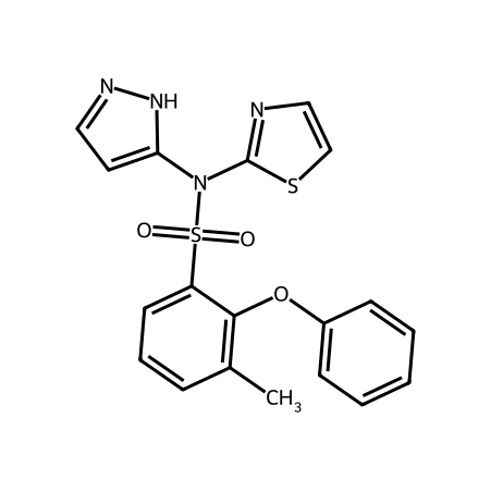 Cc1cccc(S(=O)(=O)N(c2ccn[nH]2)c2nccs2)c1Oc1ccccc1